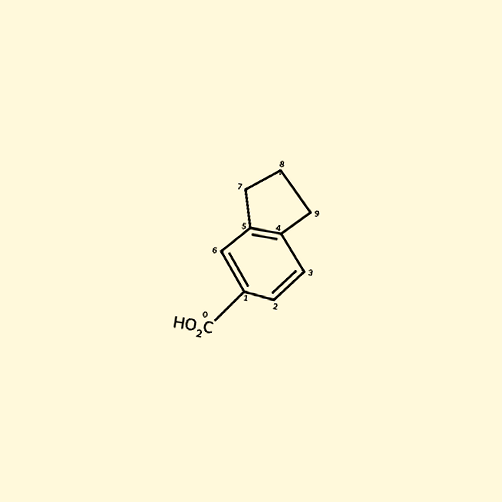 O=C(O)c1ccc2c(c1)C[CH]C2